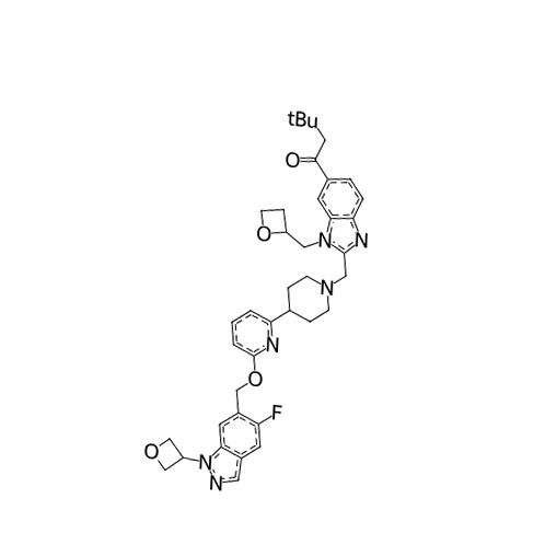 CC(C)(C)CC(=O)c1ccc2nc(CN3CCC(c4cccc(OCc5cc6c(cnn6C6COC6)cc5F)n4)CC3)n(CC3CCO3)c2c1